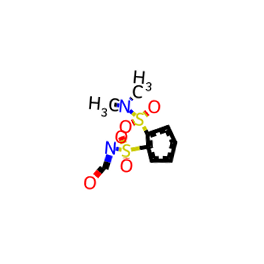 CN(C)S(=O)(=O)c1ccccc1S(=O)(=O)N=C=O